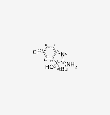 CC(C)(C)C1(O)C(N)=Nc2ccc(Cl)cc21